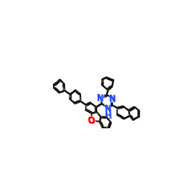 c1ccc(C2=NC(c3cc(-c4ccc(-c5ccccc5)cc4)cc4oc5ccccc5c34)NC(c3ccc4ccccc4c3)=N2)cc1